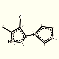 Cc1[nH]nc(-n2ccnc2)c1Cl